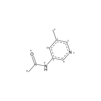 [CH2]c1cncc(NC(C)=O)c1